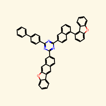 c1ccc(-c2ccc(-c3nc(-c4ccc5cc6c(cc5c4)oc4ccccc46)nc(-c4ccc5c(-c6cccc7oc8ccccc8c67)cccc5c4)n3)cc2)cc1